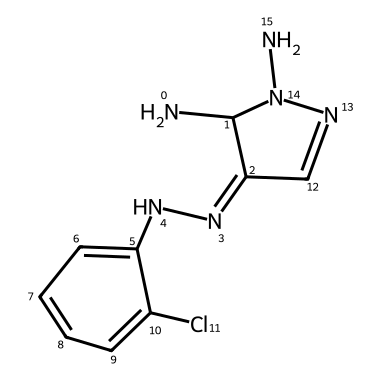 NC1C(=NNc2ccccc2Cl)C=NN1N